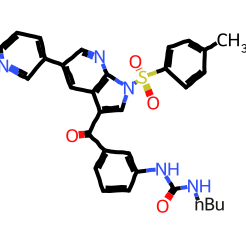 CCCCNC(=O)Nc1cccc(C(=O)c2cn(S(=O)(=O)c3ccc(C)cc3)c3ncc(-c4cccnc4)cc23)c1